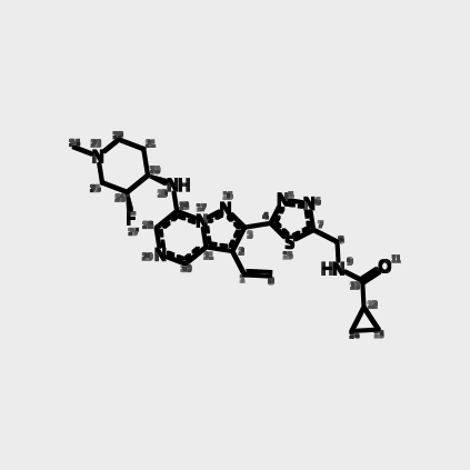 C=Cc1c(-c2nnc(CNC(=O)C3CC3)s2)nn2c(N[C@@H]3CCN(C)C[C@@H]3F)cncc12